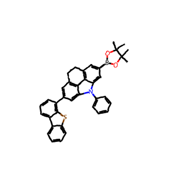 CC1(C)OB(c2cc3c4c5c(cc(-c6cccc7c6sc6ccccc67)cc5n(-c5ccccc5)c4c2)CC3)OC1(C)C